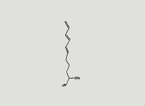 C=CC=CC=CCCCC(CCC)OC(C)=O